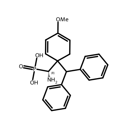 COC1=CCC(C(c2ccccc2)c2ccccc2)([C@H](N)P(=O)(O)O)C=C1